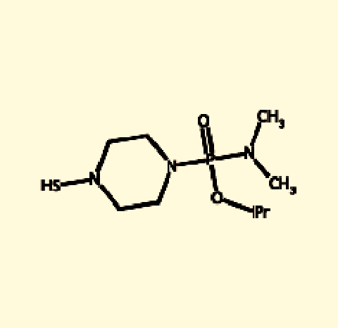 CC(C)OP(=O)(N(C)C)N1CCN(S)CC1